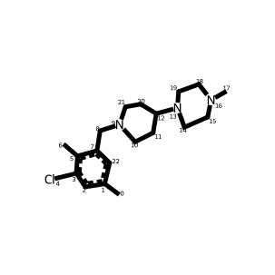 Cc1cc(Cl)c(C)c(CN2CCC(N3CCN(C)CC3)CC2)c1